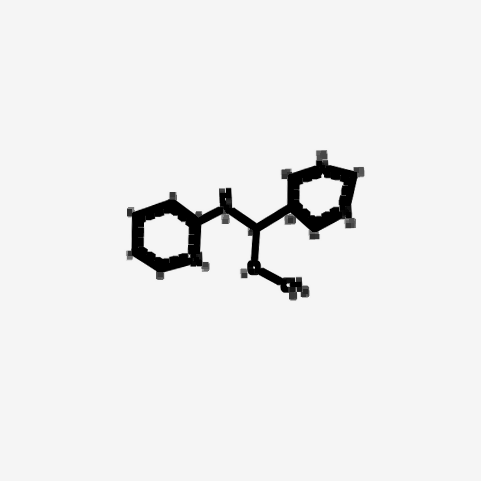 COC(Nc1ccccn1)c1cncnc1